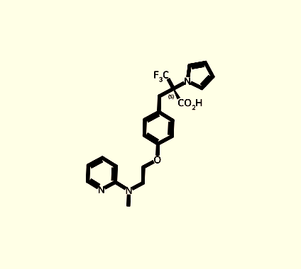 CN(CCOc1ccc(C[C@@](C(=O)O)(n2cccc2)C(F)(F)F)cc1)c1ccccn1